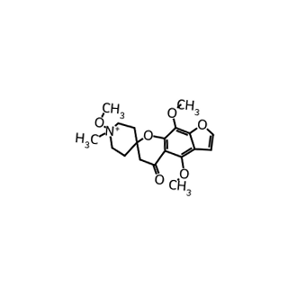 COc1c2c(c(OC)c3occc13)OC1(CC[N+](C)(OC)CC1)CC2=O